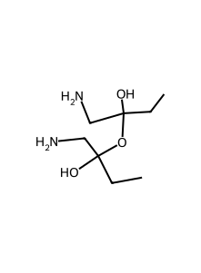 CCC(O)(CN)OC(O)(CC)CN